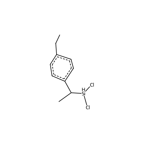 CCc1ccc(C(C)[SiH](Cl)Cl)cc1